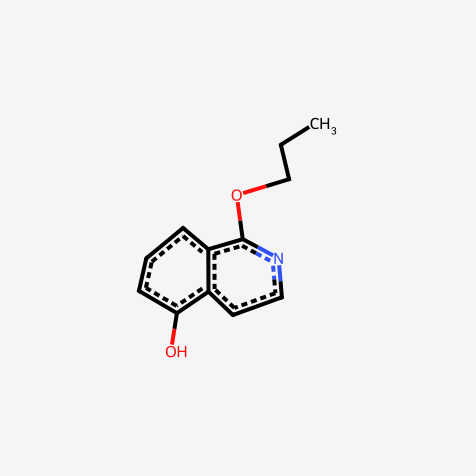 CCCOc1nccc2c(O)cccc12